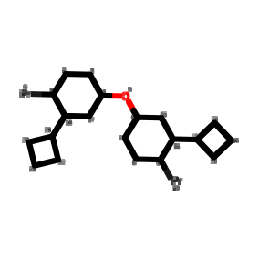 CC(C)C1CCC(OC2CCC(C(C)C)C(C3CCC3)C2)CC1C1CCC1